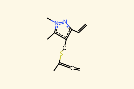 C=C=C(C)SCc1c(C=C)nn(C)c1C